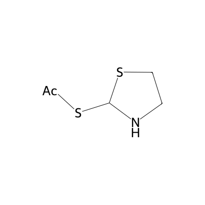 CC(=O)SC1NCCS1